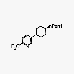 CCCCC[C@H]1CC[C@H](c2ccc(C(F)(F)F)nc2)CC1